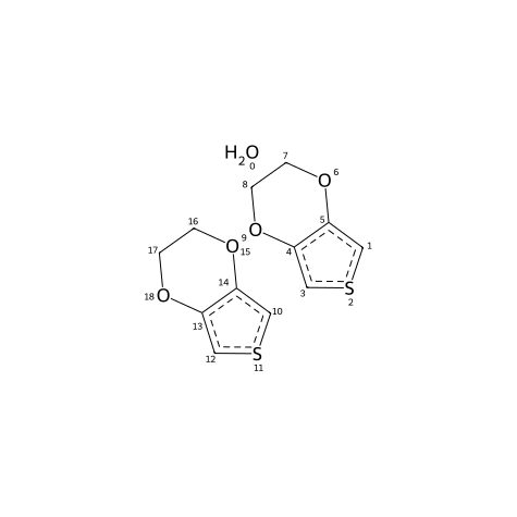 O.c1scc2c1OCCO2.c1scc2c1OCCO2